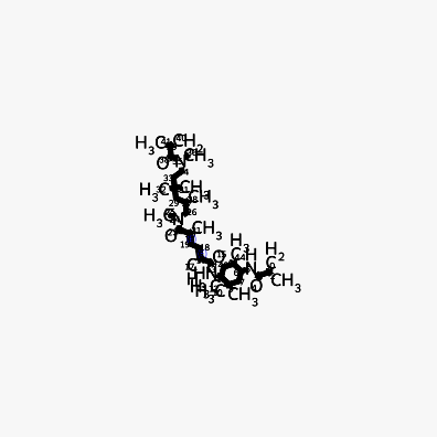 C=C(C)C(=O)NC1CC(C)(C)C(C)(NC(=O)/C(C)=C/C=C(\C)C(=O)N(C)CC(C)CC(C)(C)CCN(C)C(=O)C(=C)C)CC1C